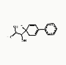 CC(O)C(O)C1(F)C=CC(c2ccccc2)=CC1